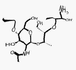 CCO[C@@H]1C(CO)O[C@@H](O[C@@H](C)[C@H](CO)O[C@@H](C)C(N)O)C(NC(C)=O)[C@H]1O